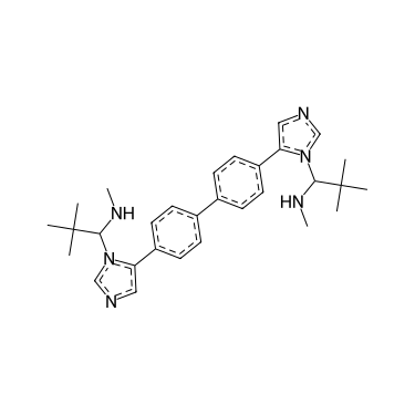 CNC(n1cncc1-c1ccc(-c2ccc(-c3cncn3C(NC)C(C)(C)C)cc2)cc1)C(C)(C)C